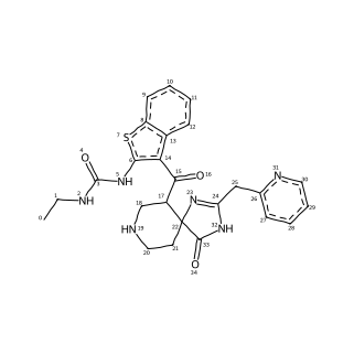 CCNC(=O)Nc1sc2ccccc2c1C(=O)C1CNCCC12N=C(Cc1ccccn1)NC2=O